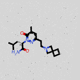 Cc1cc(CCN2CC3(CCC3)C2)nn([C@@H](CC(C)C)C(N)=O)c1=O